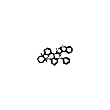 CC12CCCCC1(C)N1c3cccc4c3B(c3cccc2c31)c1oc2sc3ccccc3c2c1N4c1ccccc1